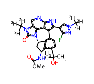 [2H]C([2H])([2H])n1cc(-c2[nH]c3ncc4c(c3c2-c2ccc(C(C)(C)O)cc2)n([C@@H]2CC[C@@H](NC(=O)OC)C2)c(=O)n4C([2H])([2H])[2H])c(F)n1